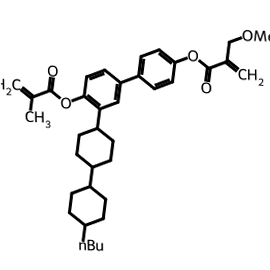 C=C(C)C(=O)Oc1ccc(-c2ccc(OC(=O)C(=C)COC)cc2)cc1C1CCC(C2CCC(CCCC)CC2)CC1